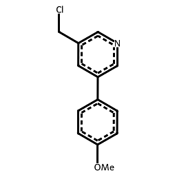 COc1ccc(-c2cncc(CCl)c2)cc1